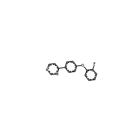 Fc1ccccc1Oc1ccc(-c2ccncn2)cc1